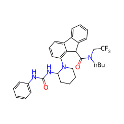 CCCCN(CC(F)(F)F)C(=O)C1c2ccccc2-c2cccc(N3CCCCC3NC(=O)Nc3ccccc3)c21